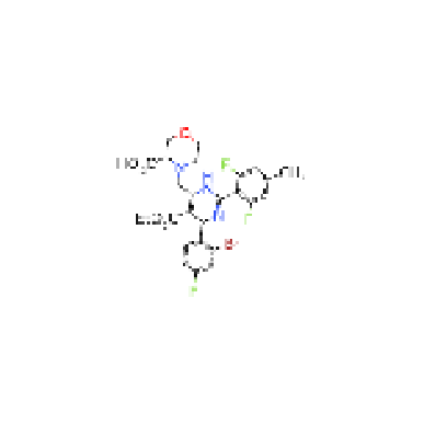 CCOC(=O)C1=C(CN2CCOCC2C(=O)O)NC(c2c(F)cc(C)cc2F)=NC1c1ccc(F)cc1Br